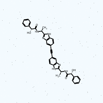 C[C@H](NC(=O)[C@H](O)c1ccccc1)c1nc2cc(C#Cc3ccc4[nH]c([C@H](C)NC(=O)[C@H](O)c5ccccc5)nc4c3)ccc2[nH]1